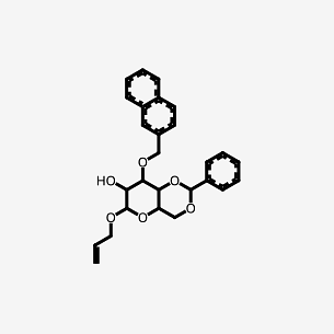 C=CCOC1OC2COC(c3ccccc3)OC2C(OCc2ccc3ccccc3c2)C1O